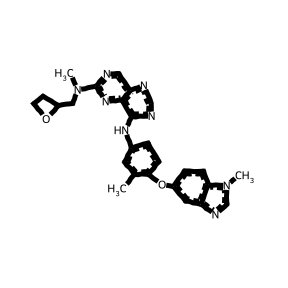 Cc1cc(Nc2ncnc3cnc(N(C)CC4CCO4)nc23)ccc1Oc1ccc2c(c1)ncn2C